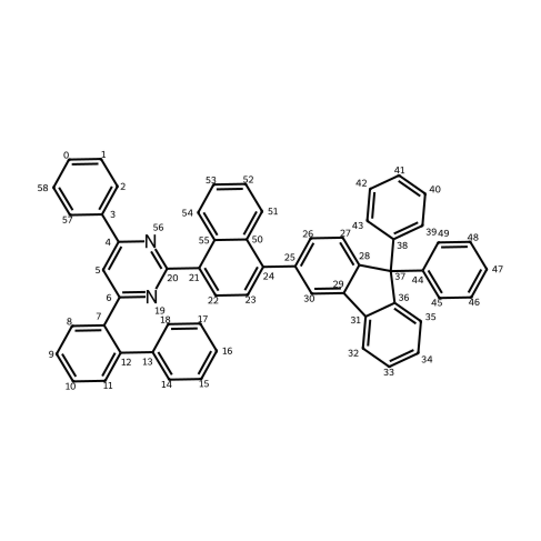 c1ccc(-c2cc(-c3ccccc3-c3ccccc3)nc(-c3ccc(-c4ccc5c(c4)-c4ccccc4C5(c4ccccc4)c4ccccc4)c4ccccc34)n2)cc1